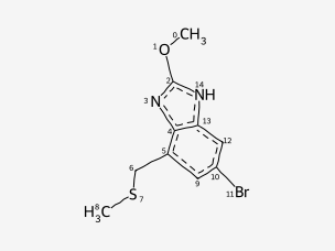 COc1nc2c(CSC)cc(Br)cc2[nH]1